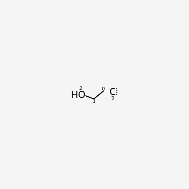 CCO.[C]